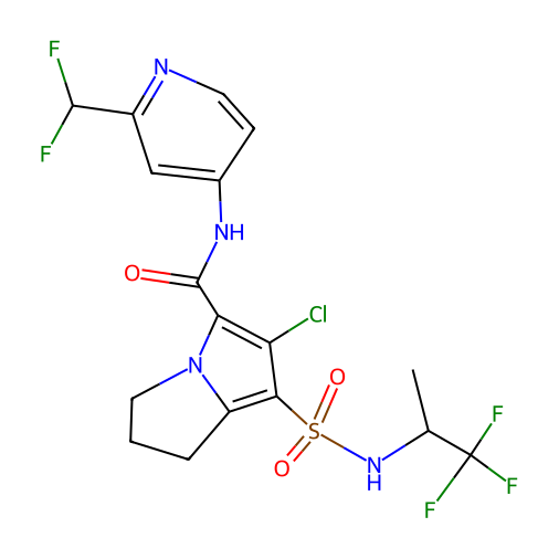 CC(NS(=O)(=O)c1c(Cl)c(C(=O)Nc2ccnc(C(F)F)c2)n2c1CCC2)C(F)(F)F